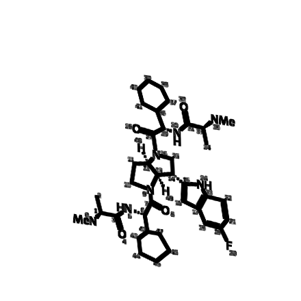 CN[C@@H](C)C(=O)N[C@H](C(=O)N1CC[C@@H]2[C@H]1[C@@H](c1cc3cc(F)ccc3[nH]1)CN2C(=O)[C@@H](NC(=O)[C@H](C)NC)C1CCCCC1)C1CCCCC1